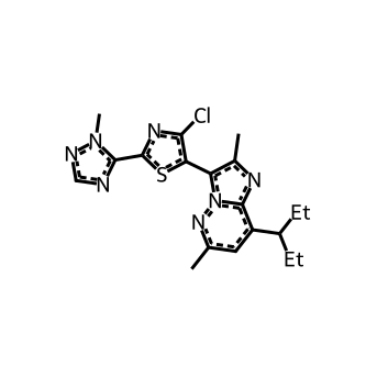 CCC(CC)c1cc(C)nn2c(-c3sc(-c4ncnn4C)nc3Cl)c(C)nc12